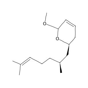 COC1C=CC[C@@H](C[C@@H](C)CCC=C(C)C)O1